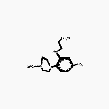 CCOC(=O)CCNc1cc([N+](=O)[O-])ccc1N1CCN(C=O)CC1